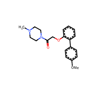 COc1ccc(-c2ccc[c]c2OCC(=O)N2CCN(C)CC2)cc1